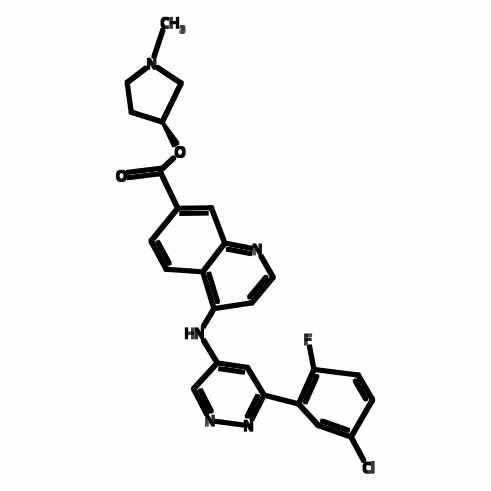 CN1CC[C@H](OC(=O)c2ccc3c(Nc4cnnc(-c5cc(Cl)ccc5F)c4)ccnc3c2)C1